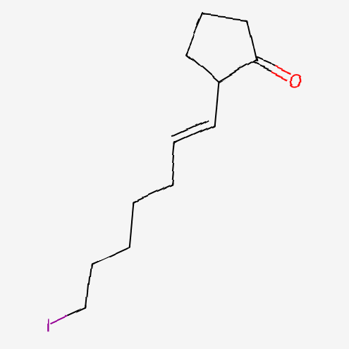 O=C1CCCC1C=CCCCCCI